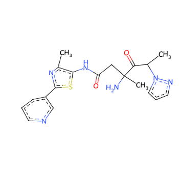 Cc1nc(-c2cccnc2)sc1NC(=O)CC(C)(N)C(=O)C(C)n1cccn1